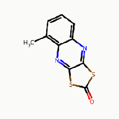 Cc1cccc2nc3sc(=O)sc3nc12